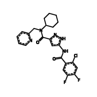 O=C(Nc1cc(C(=O)N(Cc2ccccn2)C2CCCCC2)n[nH]1)c1cc(F)c(F)cc1Cl